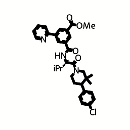 COC(=O)c1cc(C(=O)N[C@@H](C(=O)N2CCC(c3ccc(Cl)cc3)C(C)(C)C2)C(C)C)cc(-c2ccccn2)c1